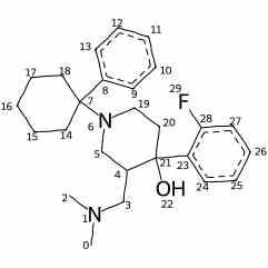 CN(C)CC1CN(C2(c3ccccc3)CCCCC2)CCC1(O)c1ccccc1F